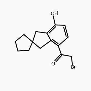 O=C(CBr)c1ccc(O)c2c1CC1(CCCC1)C2